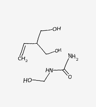 C=CC(CO)CO.NC(=O)NCO